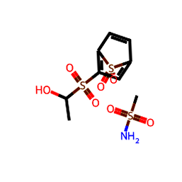 CC(O)S(=O)(=O)C1=C2C=CC(=C1)S2(=O)=O.CS(N)(=O)=O